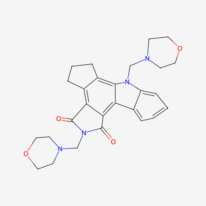 O=C1c2c3c(c4c(c2C(=O)N1CN1CCOCC1)c1ccccc1n4CN1CCOCC1)CCC3